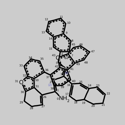 N/C(=N\C(=N/Cc1ccc2ccccc2c1)C1=CCC2CCC=CC2=C1)C1=CCCc2oc3cccc(-c4cccc5c4oc4ccccc45)c3c21